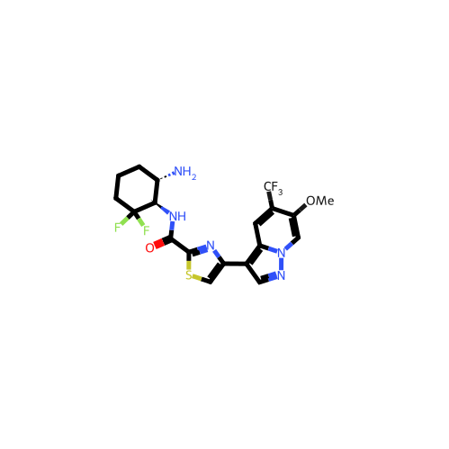 COc1cn2ncc(-c3csc(C(=O)N[C@@H]4[C@@H](N)CCCC4(F)F)n3)c2cc1C(F)(F)F